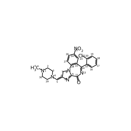 CN1CCN(C=C2CN3C(=N2)C(=O)N=C(c2ccccc2Cl)c2cc([N+](=O)[O-])ccc23)CC1